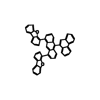 c1ccc2c(c1)cc(-c1c3cccc(-c4cccc5c4oc4ccccc45)c3cc3c(-c4cccc5c4oc4ccccc45)cccc13)c1ccccc12